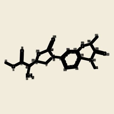 COC(=O)C(N)[C@@H]1CN(c2ccc3c(c2)OC(C)C(=O)N3C)C(=O)O1